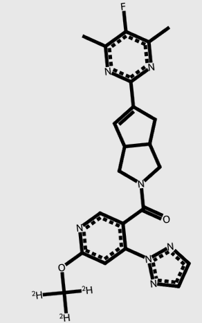 [2H]C([2H])([2H])Oc1cc(-n2nccn2)c(C(=O)N2CC3C=C(c4nc(C)c(F)c(C)n4)CC3C2)cn1